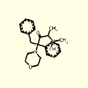 CC(C(=O)C(Cc1ccccc1)(c1ccccc1)N1CCOCC1)N(C)C